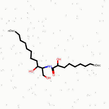 CCCCCCCCCCCCCCCCCC(O)C(CO)NC(=O)C(O)CCCCCCCCCCCCCCCC